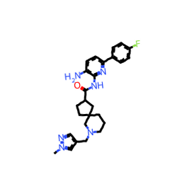 Cn1cc(CN2CCCC3(CCC(C(=O)Nc4nc(-c5ccc(F)cc5)ccc4N)C3)C2)cn1